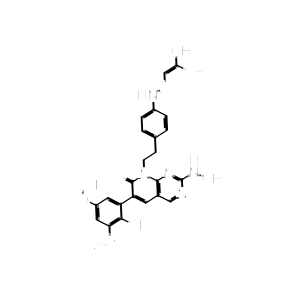 CNc1ncc2cc(-c3cc(OC)cc(OC)c3Cl)c(=O)n(CCc3ccc(NSC=C(C)C)cc3)c2n1